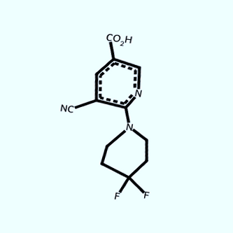 N#Cc1cc(C(=O)O)cnc1N1CCC(F)(F)CC1